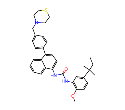 CCC(C)(C)c1ccc(OC)c(NC(=O)Nc2ccc(-c3ccc(CN4CCSCC4)cc3)c3ccccc23)c1